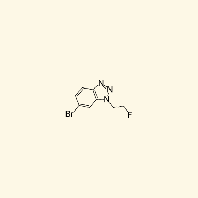 FCCn1nnc2ccc(Br)cc21